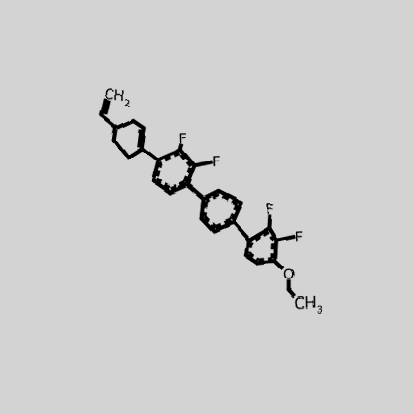 C=CC1CC=C(c2ccc(-c3ccc(-c4ccc(OCC)c(F)c4F)cc3)c(F)c2F)CC1